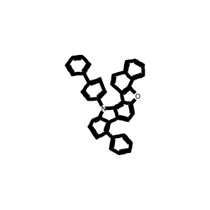 c1ccc(-c2ccc(-n3c4cccc(-c5ccccc5)c4c4ccc5oc6c7ccccc7ccc6c5c43)cc2)cc1